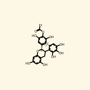 CCC(=O)Oc1c(O)cc([C@@H]2Oc3cc(O)cc(O)c3CC2c2c(C(=O)O)cc(O)c(O)c2O)cc1O